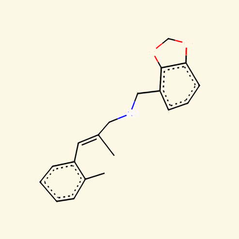 C/C(=C\c1ccccc1C)CNCc1cccc2c1OCO2